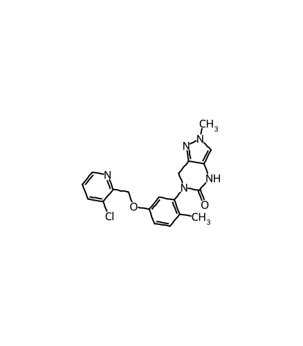 Cc1ccc(OCc2ncccc2Cl)cc1N1Cc2nn(C)cc2NC1=O